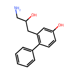 NCC(O)Cc1cc(O)ccc1-c1ccccc1